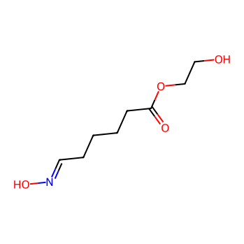 O=C(CCCCC=NO)OCCO